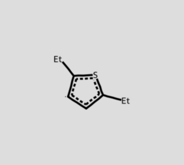 CCc1[c]cc(CC)s1